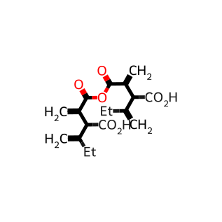 C=C(CC)C(C(=C)C(=O)OC(=O)C(=C)C(C(=C)CC)C(=O)O)C(=O)O